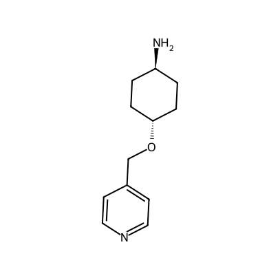 N[C@H]1CC[C@H](OCc2ccncc2)CC1